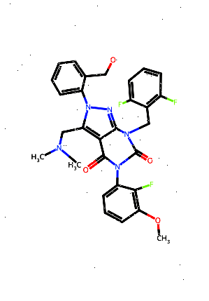 COc1cccc(-n2c(=O)c3c(CN(C)C)n(-c4ccccc4C[O])nc3n(Cc3c(F)cccc3F)c2=O)c1F